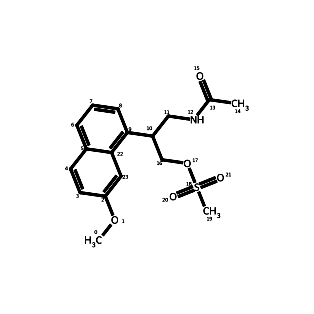 COc1ccc2cccc(C(CNC(C)=O)COS(C)(=O)=O)c2c1